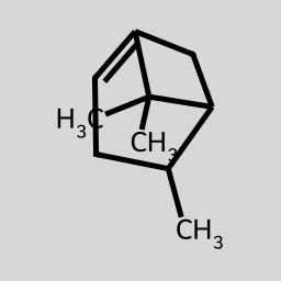 CC1CC=C2CC1C2(C)C